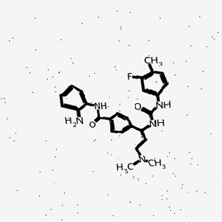 Cc1ccc(NC(=O)NC(CCN(C)C)c2ccc(C(=O)Nc3ccccc3N)cc2)cc1F